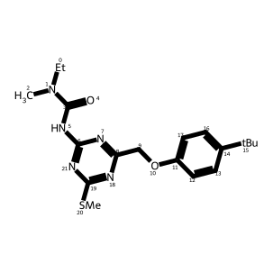 CCN(C)C(=O)Nc1nc(COc2ccc(C(C)(C)C)cc2)nc(SC)n1